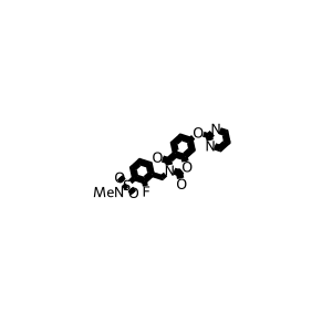 CNS(=O)(=O)c1cccc(Cn2c(=O)oc3cc(Oc4ncccn4)ccc3c2=O)c1F